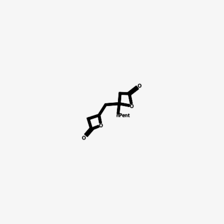 CCCCCC1(CC2CC(=O)O2)CC(=O)O1